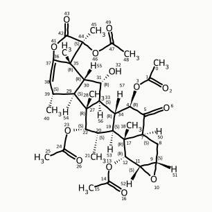 CC(=O)O[C@H]1C(=O)[C@H]2C[C@@H]3O[C@@H]3[C@H](OC(C)=O)[C@]2(C)[C@H]2[C@H](C)[C@H](OC(C)=O)[C@]3(C)[C@@H]4[C@@H]([C@H](O)[C@H]3[C@@H]21)[C@]1(C)C(=C[C@H]4C)OC(=O)[C@@]1(C)OC(C)=O